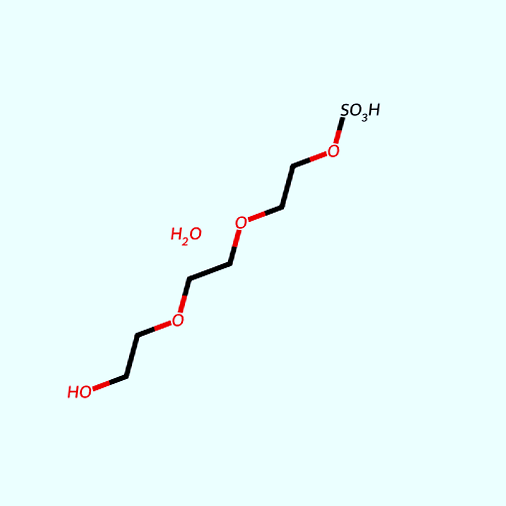 O.O=S(=O)(O)OCCOCCOCCO